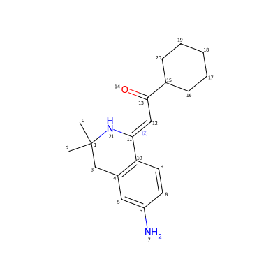 CC1(C)Cc2cc(N)ccc2/C(=C/C(=O)C2CCCCC2)N1